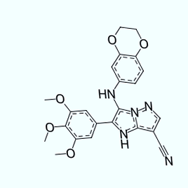 COc1cc(-c2[nH]c3c(C#N)cnn3c2Nc2ccc3c(c2)OCCO3)cc(OC)c1OC